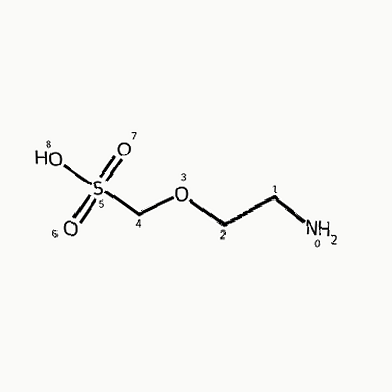 NCCOCS(=O)(=O)O